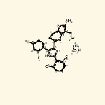 CC(C)Cn1c(N)nc2ccc(-c3nc(-c4c(Cl)cccc4Cl)[nH]c3-c3ccc(F)cc3F)nc21.CS(=O)(=O)O